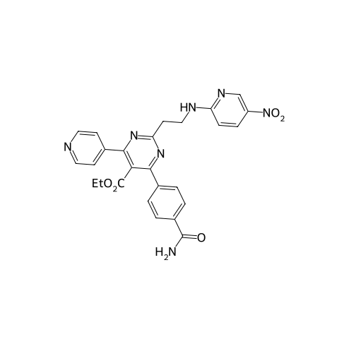 CCOC(=O)c1c(-c2ccncc2)nc(CCNc2ccc([N+](=O)[O-])cn2)nc1-c1ccc(C(N)=O)cc1